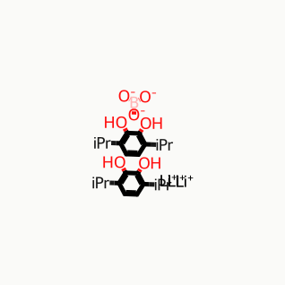 CC(C)c1ccc(C(C)C)c(O)c1O.CC(C)c1ccc(C(C)C)c(O)c1O.[Li+].[Li+].[Li+].[O-]B([O-])[O-]